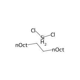 CCCCCCCCCCCCCCCCCC.Cl[SiH2]Cl